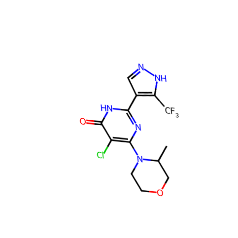 CC1COCCN1c1nc(-c2cn[nH]c2C(F)(F)F)[nH]c(=O)c1Cl